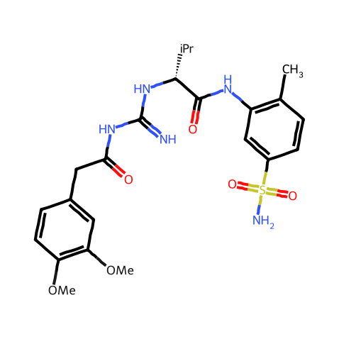 COc1ccc(CC(=O)NC(=N)N[C@@H](C(=O)Nc2cc(S(N)(=O)=O)ccc2C)C(C)C)cc1OC